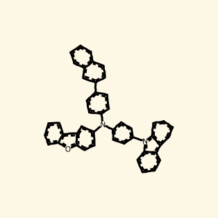 c1ccc2cc(-c3ccc(N(c4ccc(-n5c6ccccc6c6ccccc65)cc4)c4ccc5oc6ccccc6c5c4)cc3)ccc2c1